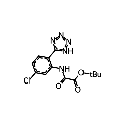 CC(C)(C)OC(=O)C(=O)Nc1cc(Cl)ccc1-c1nnn[nH]1